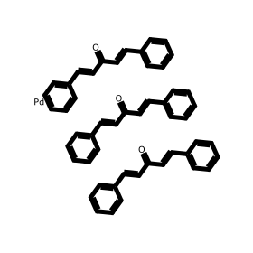 O=C(/C=C/c1ccccc1)/C=C/c1ccccc1.O=C(/C=C/c1ccccc1)/C=C/c1ccccc1.O=C(/C=C/c1ccccc1)/C=C/c1ccccc1.[Pd]